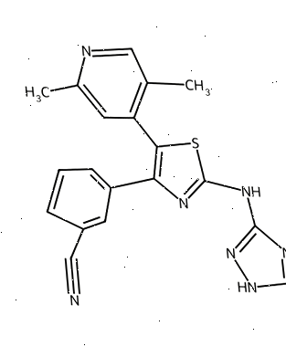 Cc1cc(-c2sc(Nc3nc[nH]n3)nc2-c2cccc(C#N)c2)c(C)cn1